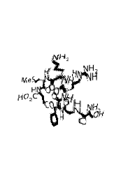 CSCC[C@H](NC(=O)[C@H](CCCCN)NC(=O)[C@H](CCCNC(=N)N)NC(=O)[C@H](Cc1ccccc1)NC(=O)CNC(=O)[C@@H](N)CO)C(=O)N[C@@H](CCC(=O)O)C(=O)O